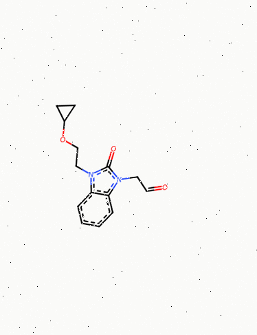 O=CCn1c(=O)n(CCOC2CC2)c2ccccc21